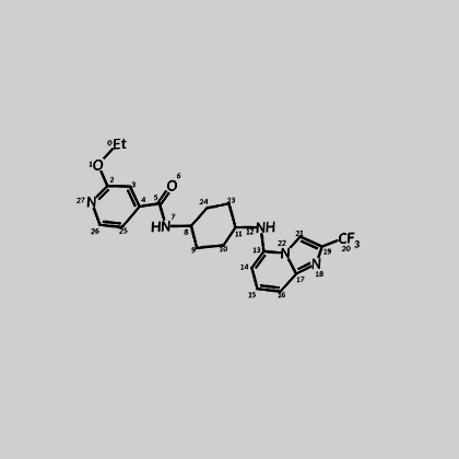 CCOc1cc(C(=O)NC2CCC(Nc3cccc4nc(C(F)(F)F)cn34)CC2)ccn1